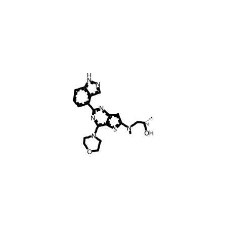 C[C@H](O)CN(C)c1cc2nc(-c3cccc4[nH]ncc34)nc(N3CCOCC3)c2s1